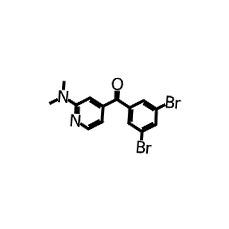 CN(C)c1cc(C(=O)c2cc(Br)cc(Br)c2)ccn1